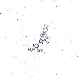 Nc1ncc(-c2cn(C34CC(C3)[C@@H](N3CCC(F)(F)CC3)C4)c([C@@H](O)C3CC3)n2)cc1OC(F)(F)F